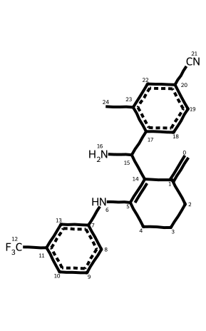 C=C1CCCC(Nc2cccc(C(F)(F)F)c2)=C1C(N)c1ccc(C#N)cc1C